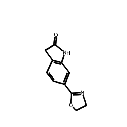 O=C1Cc2ccc(C3=NCCO3)cc2N1